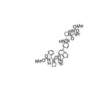 COC(=O)N[C@H](C(=O)N1CCC[C@H]1c1nc2ccc(-c3cccc4c(-c5cnc([C@@H]6CCCN6C(=O)[C@H](NC(=O)OC)c6ccccc6)[nH]5)cccc34)cc2[nH]1)C(C)C